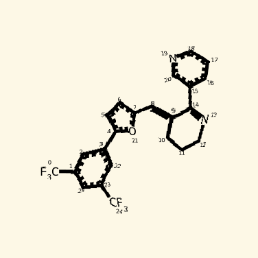 FC(F)(F)c1cc(-c2ccc(C=C3CCCN=C3c3cccnc3)o2)cc(C(F)(F)F)c1